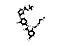 COCCOCOc1ccc(Cl)cc1C(=O)Nc1ccc(OC2CCN(C(=O)OC(C)(C)C)C2)c(F)c1